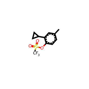 Cc1ccc(OS(=O)(=O)C(F)(F)F)c(C2CC2)c1